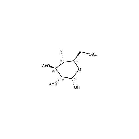 CC(=O)OC[C@H]1O[C@H](O)[C@H](OC(C)=O)[C@@H](OC(C)=O)[C@@H]1C